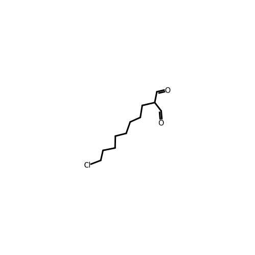 O=CC(C=O)CCCCCCCCCl